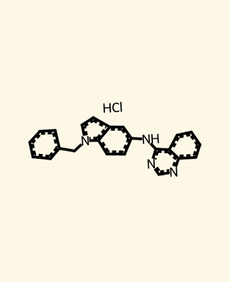 Cl.c1ccc(Cn2ccc3cc(Nc4ncnc5ccccc45)ccc32)cc1